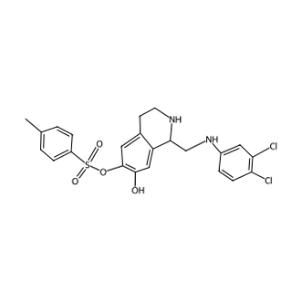 Cc1ccc(S(=O)(=O)Oc2cc3c(cc2O)C(CNc2ccc(Cl)c(Cl)c2)NCC3)cc1